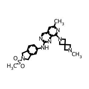 Cc1cc2cnc(Nc3ccc4c(c3)CN(S(C)(=O)=O)C4)nc2c(N2CC3(CN(C)C3)C2)n1